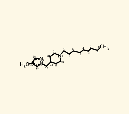 CCCCCCCCCN1CCC(Cn2cc(C)cn2)CC1